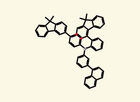 CC1(C)c2ccccc2-c2cc(-c3ccc(N(c4cccc(-c5cccc6ccccc56)c4)c4ccccc4-c4cccc5c4-c4ccccc4C5(C)C)cc3)ccc21